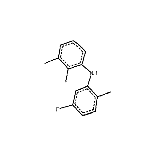 Cc1ccc(F)cc1Nc1cccc(C)c1C